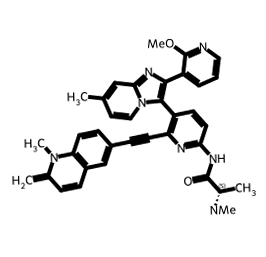 C=C1C=Cc2cc(C#Cc3nc(NC(=O)[C@H](C)NC)ccc3-c3c(-c4cccnc4OC)nc4cc(C)ccn34)ccc2N1C